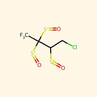 O=[S+]C(CCl)C([S+]=O)([S+]=O)C(F)(F)F